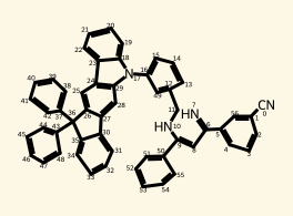 N#Cc1cccc(C(=N)/C=C(\NCc2cccc(-n3c4ccccc4c4cc5c(cc43)-c3ccccc3C5(c3ccccc3)c3ccccc3)c2)c2ccccc2)c1